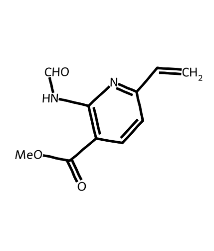 C=Cc1ccc(C(=O)OC)c(NC=O)n1